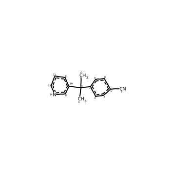 CC(C)(c1ccc(C#N)cc1)c1cccnc1